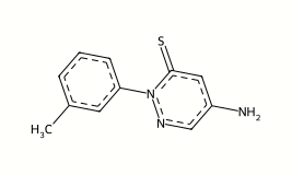 Cc1cccc(-n2ncc(N)cc2=S)c1